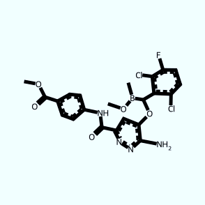 COB(C)C(Oc1cc(C(=O)Nc2ccc(C(=O)OC)cc2)nnc1N)c1c(Cl)ccc(F)c1Cl